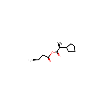 C=CCC(=O)OC(=O)C(=C)C1CCCC1